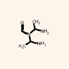 CC(N)N([C]=O)C(C)N